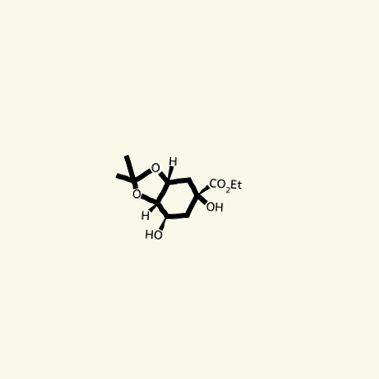 CCOC(=O)[C@@]1(O)C[C@@H](O)[C@@H]2OC(C)(C)O[C@@H]2C1